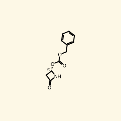 O=C1C[C@H](OC(=O)OCc2ccccc2)N1